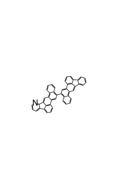 c1ccc2c(c1)-c1cccc3c1c-2cc1c2ccccc2c(-c2cc4c5cccc6c5c(cc4c4ccccc24)-c2ncccc2-6)cc31